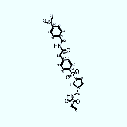 C=CS(=O)(=O)NC[C@H]1CCN(S(=O)(=O)c2ccc(CC(=O)NCc3ccc(N(C)C)cc3)cc2)C1